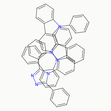 c1ccc(-c2nnc(-c3ccccc3)n2-c2cccc3c4ccccc4n(-c4ccccc4-c4ccccc4-n4c5ccccc5c5c4ccc4c6ccccc6n(-c6ccccc6)c45)c23)cc1